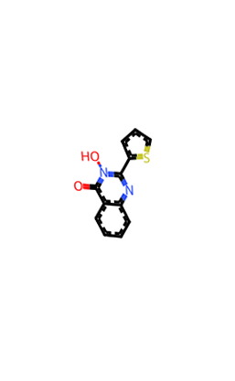 O=c1c2ccccc2nc(-c2cccs2)n1O